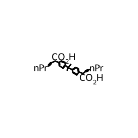 CCCC#CC(C(=O)O)c1ccc(C(C)(C)c2ccc(C(C#CCCC)C(=O)O)cc2)cc1